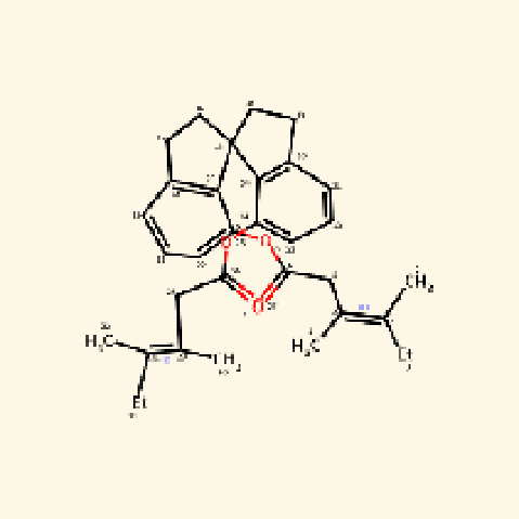 CC/C(C)=C(\C)CC(=O)Oc1cccc2c1C1(CC2)CCc2cccc(OC(=O)C/C(C)=C(\C)CC)c21